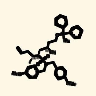 C=CC[C@@H](C)[C@H](C[C@@H](O)CCO[Si](c1ccccc1)(c1ccccc1)C(C)(C)C)S(=O)(=O)N(Cc1ccc(OC)cc1)Cc1ccc(OC)cc1